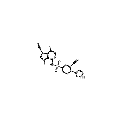 Cc1ccc(NS(=O)(=O)c2ccc(-c3cn[nH]c3)c(C#N)c2)c2[nH]cc(C#N)c12